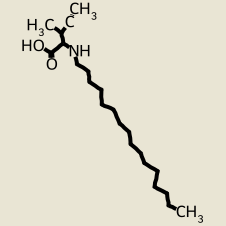 CCCCCCCCCCCCCCCCNC(C(=O)O)C(C)CC